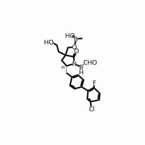 CB(O)OCC1(CCO)C[C@@H](Cc2ccc(-c3cc(Cl)ccc3F)cc2)N(BC=O)C1=O